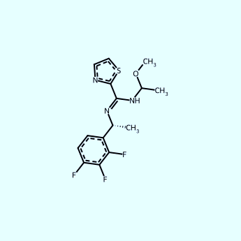 COC(C)N/C(=N\[C@H](C)c1ccc(F)c(F)c1F)c1nccs1